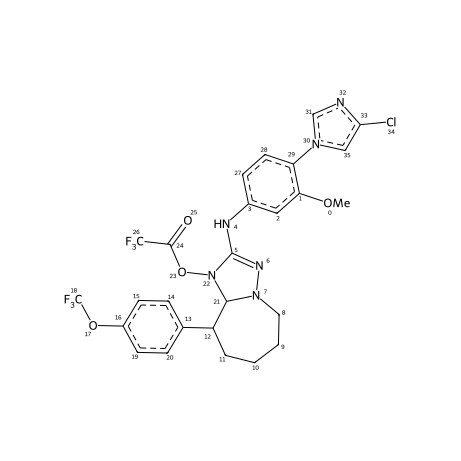 COc1cc(NC2=NN3CCCCC(c4ccc(OC(F)(F)F)cc4)C3N2OC(=O)C(F)(F)F)ccc1-n1cnc(Cl)c1